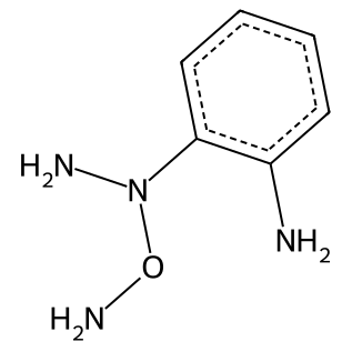 NON(N)c1ccccc1N